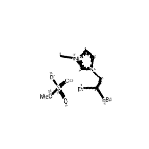 CCCCC(CC)Cn1cc[n+](C)c1.COS(=O)(=O)[O-]